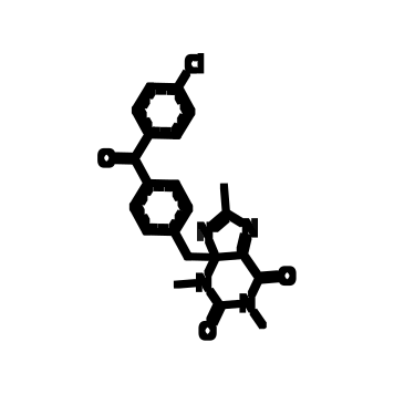 CC1=NC2(Cc3ccc(C(=O)c4ccc(Cl)cc4)cc3)C(=N1)C(=O)N(C)C(=O)N2C